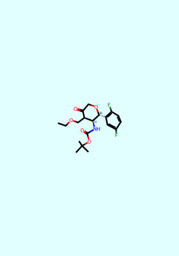 CCOCC1C(=O)CO[C@H](c2cc(F)ccc2F)[C@H]1NC(=O)OC(C)(C)C